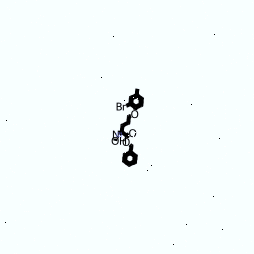 Cc1ccc(OCCC/C(=N/O)C(=O)OCc2ccccc2)c(Br)c1